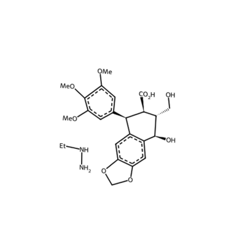 CCNN.COc1cc([C@@H]2c3cc4c(cc3[C@H](O)[C@@H](CO)[C@@H]2C(=O)O)OCO4)cc(OC)c1OC